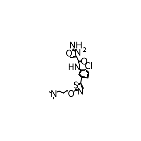 CN(C)CCCOc1ncc(-c2ccc(Cl)c(NC(=O)c3coc(N)n3)c2)s1